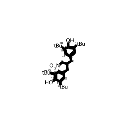 CC(C)(C)c1cc(CC(Cc2cc(C(C)(C)C)c(O)c(C(C)(C)C)c2)C[N+](=O)[O-])cc(C(C)(C)C)c1O